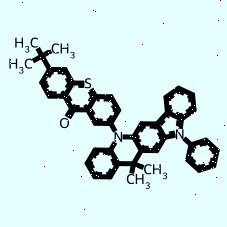 CC(C)(C)c1ccc2c(=O)c3cc(N4c5ccccc5C(C)(C)c5cc6c(cc54)c4ccccc4n6-c4ccccc4)ccc3sc2c1